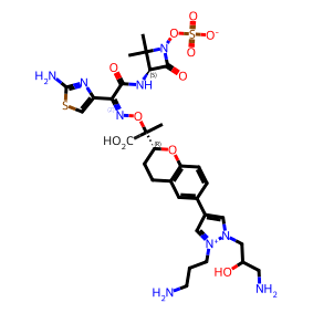 CC(O/N=C(\C(=O)N[C@@H]1C(=O)N(OS(=O)(=O)[O-])C1(C)C)c1csc(N)n1)(C(=O)O)[C@H]1CCc2cc(-c3cn(CC(O)CN)[n+](CCCN)c3)ccc2O1